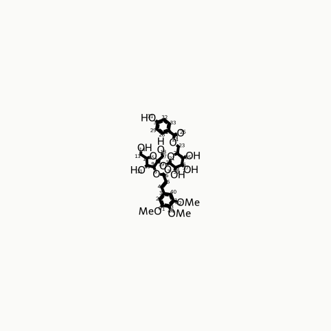 COc1cc(C=CC(=O)OC2C(O)C(CO)OC2(CO)OC2OC(COC(=O)c3ccc(O)cc3)C(O)C(O)C2O)cc(OC)c1OC